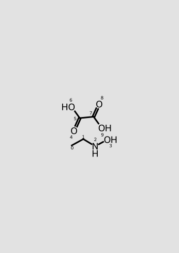 CCNO.O=C(O)C(=O)O